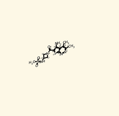 Cc1nnc2sc(C(=O)N3CC(NS(C)(=O)=O)C3)c(N)c2c1C